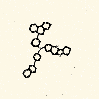 c1cc(-c2cc3ccccc3c3ccccc23)cc(N(c2ccc(-c3ccc4ccccc4c3)cc2)c2ccc3nc4c(cc3c2)oc2ccccc24)c1